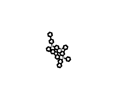 c1ccc(-c2ccc(N(c3ccccc3)c3ccc4c(c3)C3(c5ccccc5-c5ccccc53)c3cc(N(c5ccccc5)c5ccc6ccccc6c5)cc5c6ccccc6n-4c35)cc2)cc1